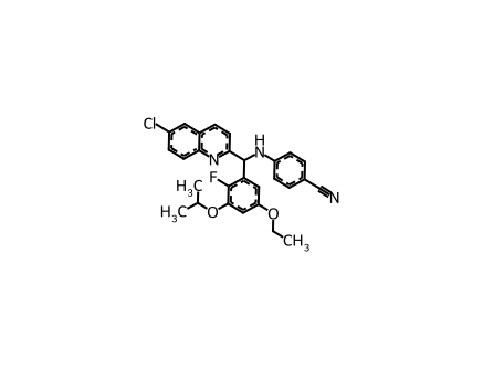 CCOc1cc(OC(C)C)c(F)c(C(Nc2ccc(C#N)cc2)c2ccc3cc(Cl)ccc3n2)c1